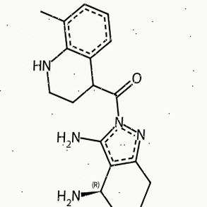 Cc1cccc2c1NCCC2C(=O)n1nc2c(c1N)[C@H](N)CCC2